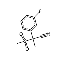 CC(C#N)(c1cccc(F)c1)S(C)(=O)=O